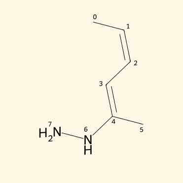 C/C=C\C=C(/C)NN